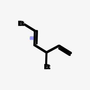 C=CC(/C=[C]/CC)CC